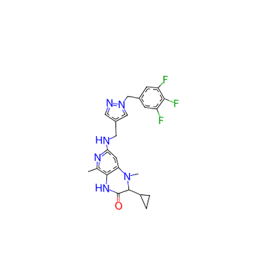 Cc1nc(NCc2cnn(Cc3cc(F)c(F)c(F)c3)c2)cc2c1NC(=O)C(C1CC1)N2C